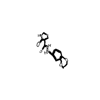 O=C(NNc1ccc2c(c1)OCCO2)c1cnc[nH]c1=O